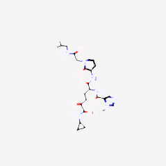 CCC(CC)CNC(=O)Cn1cccc(NC(=O)C(CCC(=O)C(=O)NC2CC2)NC(=O)c2cncn2C)c1=O